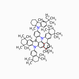 CC(C)(C)c1cc2c3c(c1)N(c1cc4c(cc1-c1ccccc1)C(C)(C)CCC4(C)C)c1cc(N4c5ccc(C(C)(C)C)cc5C5(C)CCCCC45C)ccc1B3c1cc3c(cc1N2c1ccc2c(c1)C(C)(C)CCC2(C)C)C(C)(C)CCC3(C)C